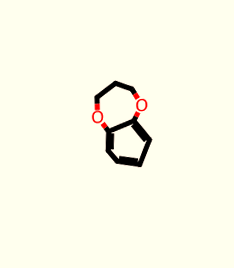 c1ccc2c(c1)OCCCO2